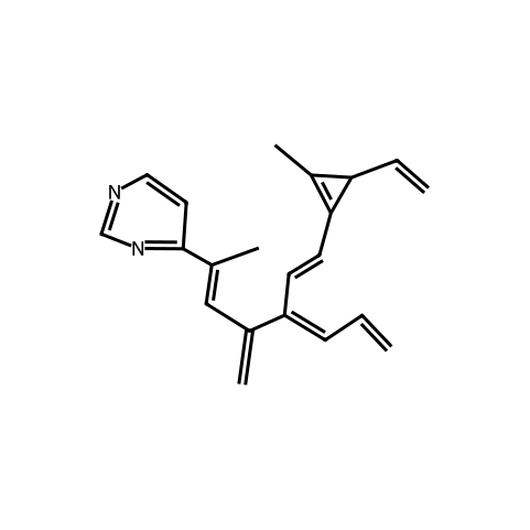 C=C/C=C(\C=C\C1=C(C)C1C=C)C(=C)/C=C(\C)c1ccncn1